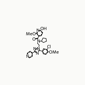 COc1ccc(-c2nc(-c3ccncc3)nn2CCN(C(=O)c2ccc(O)nc2OC)C2CCCC2)cc1Cl